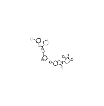 CC1(C)CCC(C(=O)N2CC(c3cncc(COc4ccc5c(c4)CN(C4CCC(=O)NC4=O)C5=O)c3)C2)=C(c2ccc(Cl)cc2)C1